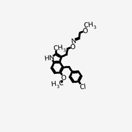 COCC=NOCCc1c(C)[nH]c2ccc(OC)c(Cc3ccc(Cl)cc3)c12